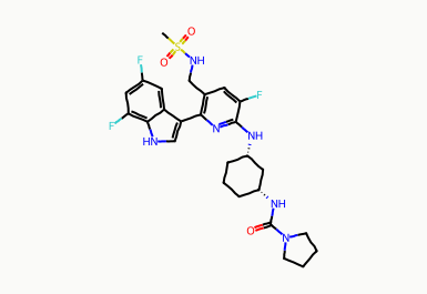 CS(=O)(=O)NCc1cc(F)c(N[C@H]2CCC[C@@H](NC(=O)N3CCCC3)C2)nc1-c1c[nH]c2c(F)cc(F)cc12